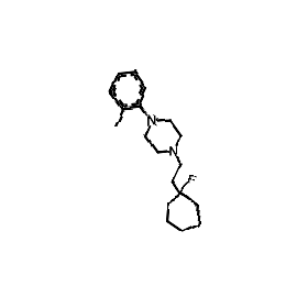 Cc1ccccc1N1CCN(CCC2(F)CCCCC2)CC1